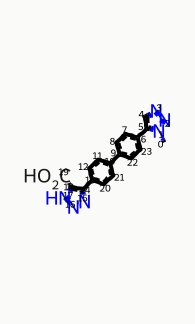 Cn1nncc1-c1ccc(-c2ccc(-c3nn[nH]c3C(=O)O)cc2)cc1